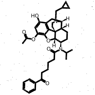 CC(=O)Oc1cc(O)c2c3c1O[C@H]1[C@H](N(C(=O)CCCCC(=O)c4ccccc4)C(C)C)CC[C@H]4[C@@H](C2)N(CC2CC2)CC[C@@]341